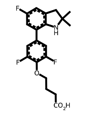 CC1(C)Cc2cc(F)cc(-c3cc(F)c(OCCCC(=O)O)c(F)c3)c2N1